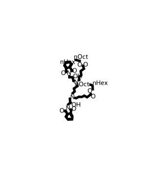 CCCCCCCCC(CCCCCC)COC(=O)CCCCCN(CCCCN(CCCCCC(=O)OCC(CCCCCC)CCCCCCCC)CC(O)CN1C(=O)c2ccccc2C1=O)CC(O)CN1C(=O)c2ccccc2C1=O